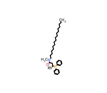 CCCCCCCCCCCCCCCCCCN(C)C(=O)C[CH]([Rh])P(c1ccccc1)c1ccccc1